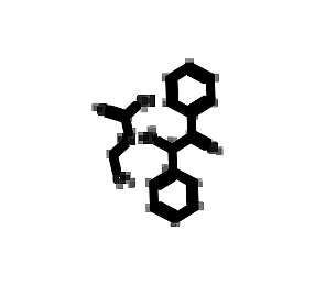 CCNC(=O)O.O=C(c1ccccc1)C(O)c1ccccc1